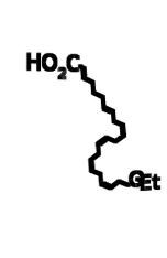 CCOCC/C=C\C/C=C\C/C=C\C/C=C\CC=CCCCC=CC(=O)O